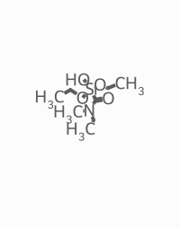 CCO[Si](O)(OCC)C(=O)N(C)CC